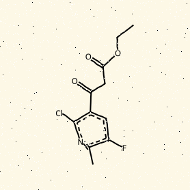 CCOC(=O)CC(=O)c1cc(F)c(C)nc1Cl